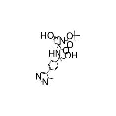 Cc1ncncc1-c1ccc([C@H](CO)NC(=O)[C@@H]2C[C@@H](O)CN2C(=O)OC(C)(C)C)cc1